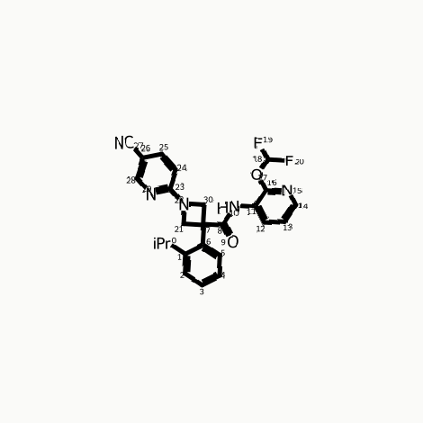 CC(C)c1ccccc1C1(C(=O)Nc2cccnc2OC(F)F)CN(c2ccc(C#N)cn2)C1